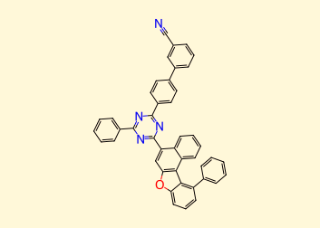 N#Cc1cccc(-c2ccc(-c3nc(-c4ccccc4)nc(-c4cc5oc6cccc(-c7ccccc7)c6c5c5ccccc45)n3)cc2)c1